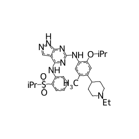 CCN1CCC(c2cc(OC(C)C)c(Nc3nc(Nc4ccccc4S(=O)(=O)C(C)C)c4cn[nH]c4n3)cc2C)CC1